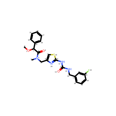 COC(C(=O)N(C)Cc1csc(NC(=O)NCc2cccc(F)c2)n1)c1ccccc1